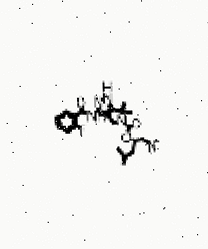 CC(C)CC(CN(C)C)OC(=O)N1Cc2c(NC(=O)c3ccccc3F)n[nH]c2C1(C)C